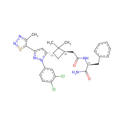 Cc1nnsc1-c1cc([C@H]2C[C@H](CC(=O)N[C@@H](Cc3ccccc3)C(N)=O)C2(C)C)n(-c2ccc(Cl)c(Cl)c2)n1